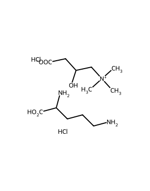 C[N+](C)(C)CC(O)CC(=O)[O-].Cl.Cl.NCCCC(N)C(=O)O